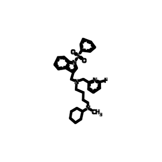 CN(CCCCN(Cc1cccc(F)n1)Cc1cn(S(=O)(=O)c2ccccc2)c2ccccc12)C1CCCCC1